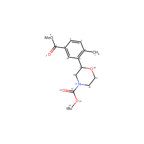 COC(=O)c1ccc(C)c(C2CN(C(=O)OC(C)(C)C)CCO2)c1